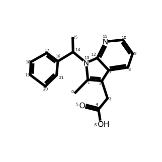 Cc1c(CC(=O)O)c2cccnc2n1C(C)c1ccccc1